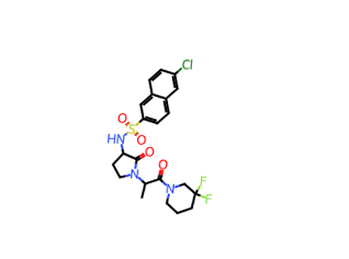 CC(C(=O)N1CCCC(F)(F)C1)N1CCC(NS(=O)(=O)c2ccc3cc(Cl)ccc3c2)C1=O